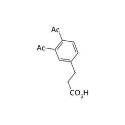 CC(=O)c1ccc(CCC(=O)O)cc1C(C)=O